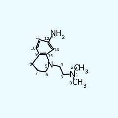 CN(C)CCN1CCCc2ccc(N)cc21